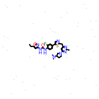 CCc1cc(NC(=O)Nc2ccc(-c3cnc(Cc4cc(N5CCC(N(C)C)C5)nc(C)n4)s3)cc2F)no1